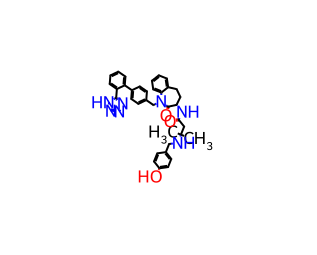 CC(C)(CC(=O)N[C@@H]1CCc2ccccc2N(Cc2ccc(-c3ccccc3-c3nnn[nH]3)cc2)C1=O)NCc1ccc(O)cc1